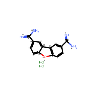 Cl.Cl.N=C(N)c1ccc2oc3ccc(C(=N)N)cc3c2c1